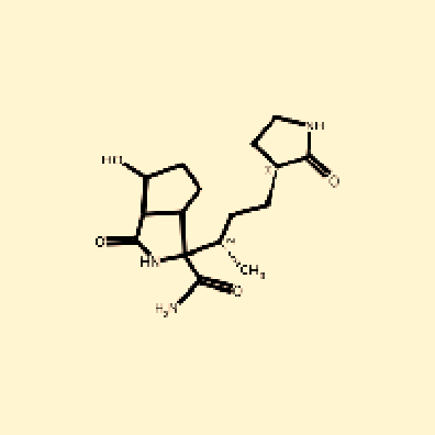 C[C@@H](CC[C@H]1CCNC1=O)C1(C(N)=O)NC(=O)C2C(O)CCC21